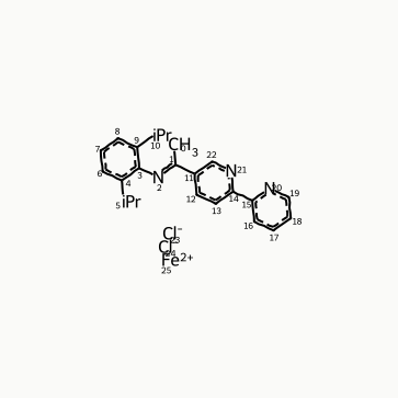 CC(=Nc1c(C(C)C)cccc1C(C)C)c1ccc(-c2ccccn2)nc1.[Cl-].[Cl-].[Fe+2]